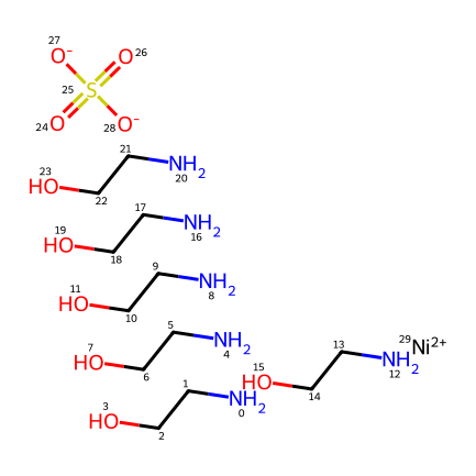 NCCO.NCCO.NCCO.NCCO.NCCO.NCCO.O=S(=O)([O-])[O-].[Ni+2]